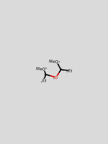 CCC(OC)OC(CC)OC